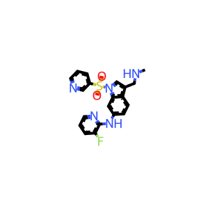 CNCc1cn(S(=O)(=O)c2cccnc2)c2cc(Nc3ncccc3F)ccc12